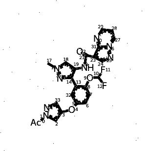 CC(=O)n1cc(Oc2ccc(OC(F)F)c(-c3nn(C)cc3NC(=O)c3cnn4cccnc34)c2)cn1